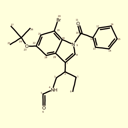 CCC(CNC=O)c1cn(C(=O)c2ccccc2)c2c(Br)cc(OC(C)(C)C)cc12